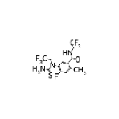 Cc1cc(F)c(N(CC(F)(F)F)C(N)=S)cc1C(=O)NCC(F)(F)F